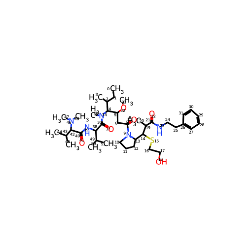 CCC(C)C(C(CC(=O)N1CCCC1C(SCCO)C(C)C(=O)NCCc1ccccc1)OC)N(C)C(=O)C(NC(=O)C(C(C)C)N(C)C)C(C)C